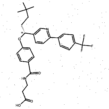 CC(C)(C)CC[C@@H](Oc1ccc(C(=O)NCCC(=O)O)cc1)c1ccc(-c2ccc(C(F)(F)F)cc2)nc1